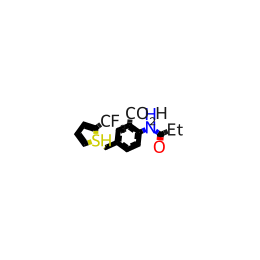 CCC(=O)Nc1ccc(C[SH]2C=CC=C2C(F)(F)F)cc1C(=O)O